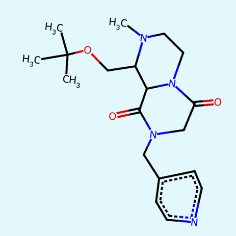 CN1CCN2C(=O)CN(Cc3ccncc3)C(=O)C2C1COC(C)(C)C